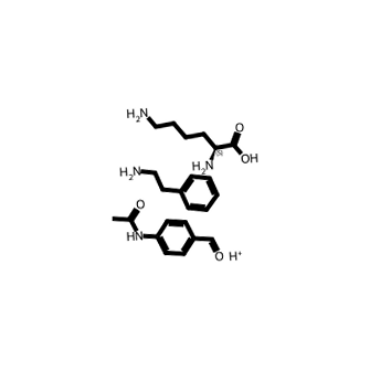 CC(=O)Nc1ccc(C=O)cc1.NCCCC[C@H](N)C(=O)O.NCCc1ccccc1.[H+]